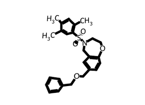 Cc1cc(C)c(S(=O)(=O)N2CCOc3ccc(COCc4ccccc4)cc3C2)cc1C